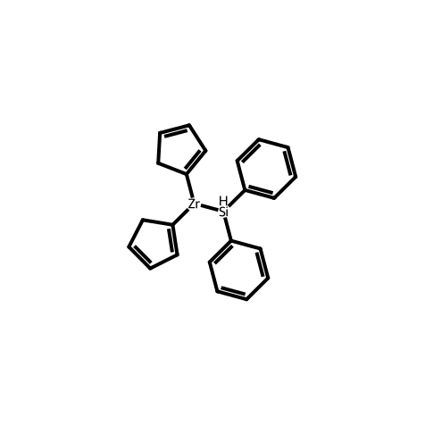 C1=CC[C]([Zr]([C]2=CC=CC2)[SiH](c2ccccc2)c2ccccc2)=C1